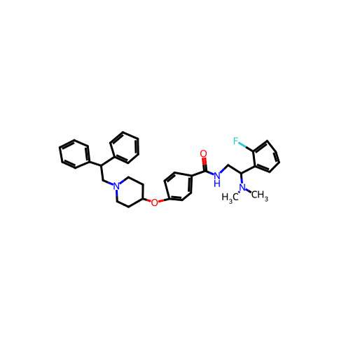 CN(C)C(CNC(=O)c1ccc(OC2CCN(CC(c3ccccc3)c3ccccc3)CC2)cc1)c1ccccc1F